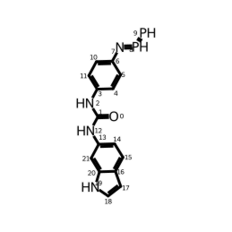 O=C(Nc1ccc(N=[PH]=P)cc1)Nc1ccc2cc[nH]c2c1